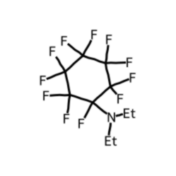 CCN(CC)C1(F)C(F)(F)C(F)(F)C(F)(F)C(F)(F)C1(F)F